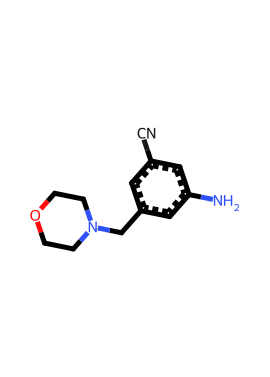 N#Cc1cc(N)cc(CN2CCOCC2)c1